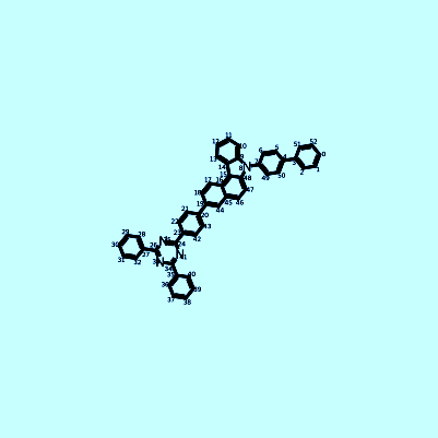 c1ccc(-c2ccc(-n3c4ccccc4c4c5ccc(-c6ccc(-c7nc(-c8ccccc8)nc(-c8ccccc8)n7)cc6)cc5ccc43)cc2)cc1